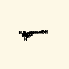 CC1C(=O)NC2=Nc3ccc(OCCCCCCCCO)cc3CN21